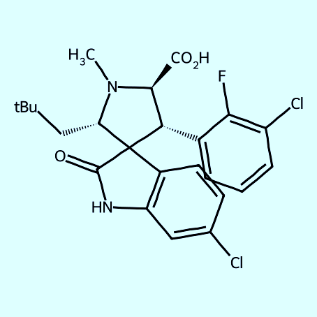 CN1[C@@H](CC(C)(C)C)C2(C(=O)Nc3cc(Cl)ccc32)[C@@H](c2cccc(Cl)c2F)[C@@H]1C(=O)O